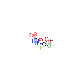 CCOC(=O)/C(C)=C(\C)NC(=O)Nc1cc(C(=O)OC(C)C)c(Cl)cc1F